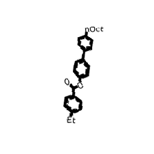 CCCCCCCCc1ccc(-c2ccc(OC(=O)c3ccc(CC)cc3)cc2)cc1